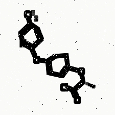 C[C@@H](OC1=CC=C(Oc2ccc(C(F)(F)F)cn2)CC1)C(=O)Cl